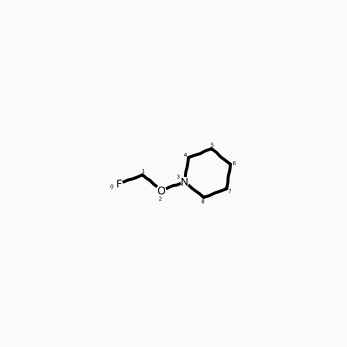 FCON1CCCCC1